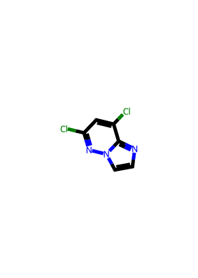 Clc1cc(Cl)c2nccn2n1